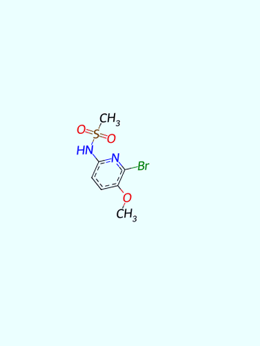 COc1ccc(NS(C)(=O)=O)nc1Br